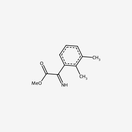 COC(=O)C(=N)c1cccc(C)c1C